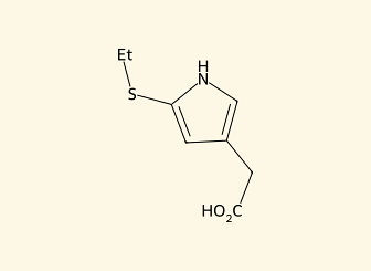 CCSc1cc(CC(=O)O)c[nH]1